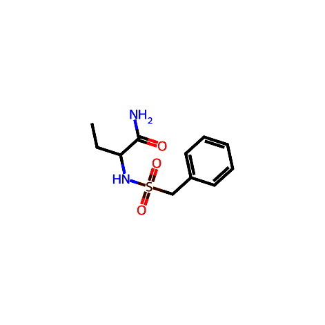 CCC(NS(=O)(=O)Cc1ccccc1)C(N)=O